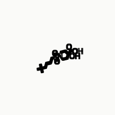 CC(C)(C)CC=CCS(=O)(=O)N1CCC(O)(C(=O)O)CC1